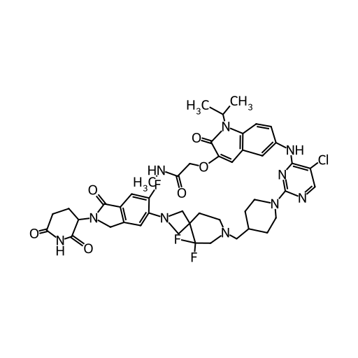 CNC(=O)COc1cc2cc(Nc3nc(N4CCC(CN5CCC6(CN(c7cc8c(cc7F)C(=O)N(C7CCC(=O)NC7=O)C8)C6)C(F)(F)C5)CC4)ncc3Cl)ccc2n(C(C)C)c1=O